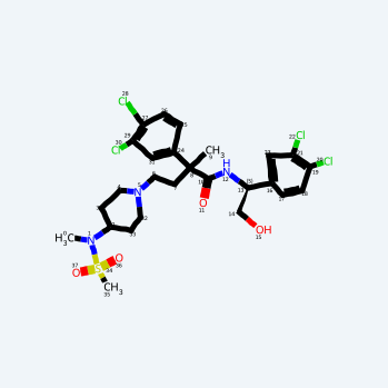 CN(C1CCN(CCC(C)(C(=O)N[C@H](CO)c2ccc(Cl)c(Cl)c2)c2ccc(Cl)c(Cl)c2)CC1)S(C)(=O)=O